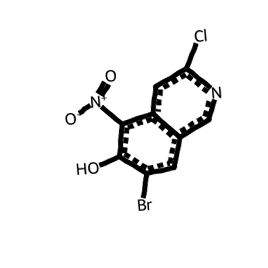 O=[N+]([O-])c1c(O)c(Br)cc2cnc(Cl)cc12